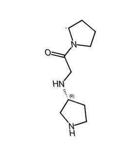 O=C(CN[C@@H]1CCNC1)N1[CH]CCC1